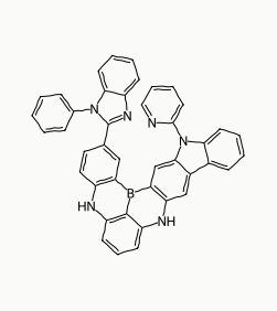 c1ccc(-n2c(-c3ccc4c(c3)B3c5cc6c(cc5Nc5cccc(c53)N4)c3ccccc3n6-c3ccccn3)nc3ccccc32)cc1